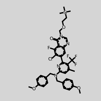 COc1ccc(CN(Cc2ccc(OC)cc2)c2cc(C)c(C(F)(F)F)c(-c3cc4ncn(COCC[Si](C)(C)C)c(=O)c4c(F)c3Cl)n2)cc1